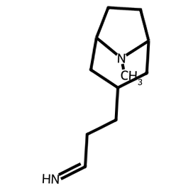 CN1C2CCC1CC(CCC=N)C2